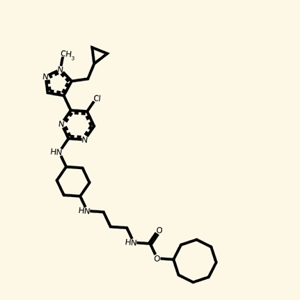 Cn1ncc(-c2nc(NC3CCC(NCCCNC(=O)OC4CCCCCCC4)CC3)ncc2Cl)c1CC1CC1